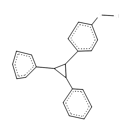 FC(F)(F)Sc1ccc(C2C(c3ccccc3)C2c2ccccc2)cc1